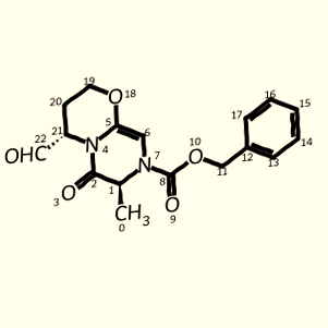 C[C@H]1C(=O)N2C(=CN1C(=O)OCc1ccccc1)OCC[C@H]2C=O